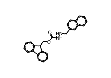 O=C(NNCc1ccc2ccccc2c1)OCC1c2ccccc2-c2ccccc21